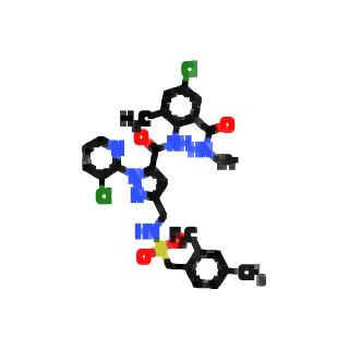 Cc1cc(Cl)cc(C(=O)NC(C)C)c1NC(=O)c1cc(CNS(=O)(=O)Cc2ccc(C(F)(F)F)cc2C(F)(F)F)nn1-c1ncccc1Cl